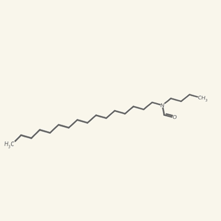 CCCCCCCCCCCCCCCCN(C=O)CCCC